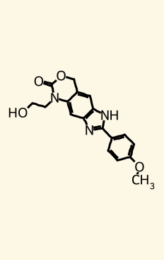 COc1ccc(-c2nc3cc4c(cc3[nH]2)COC(=O)N4CCO)cc1